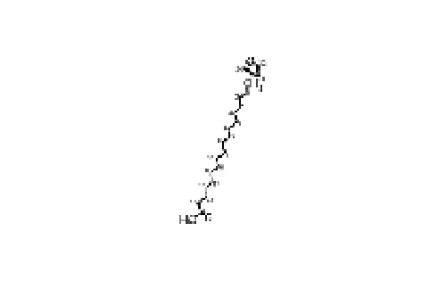 CCCCCCCCCCCCCCCCCC(=O)O.c1ccoc1